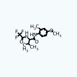 COc1ccc(NC(=O)C(NC(=O)C(F)(F)F)C(C)C)c(C)c1